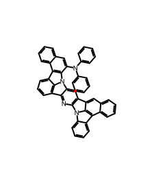 c1ccc(N(c2ccccc2)c2cc3ccccc3c3c4cccc5c6nc7c(cc6n(c23)c54)c2cc3ccccc3c3c4ccccc4n7c23)cc1